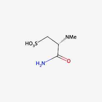 CN[C@@H](CS(=O)(=O)O)C(N)=O